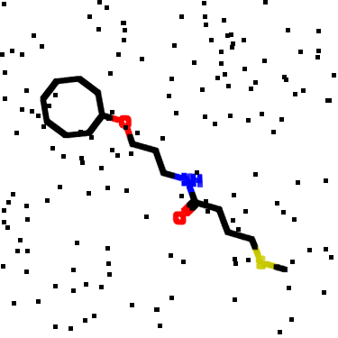 CSCCCC(=O)NCCCOC1CCCCCCC1